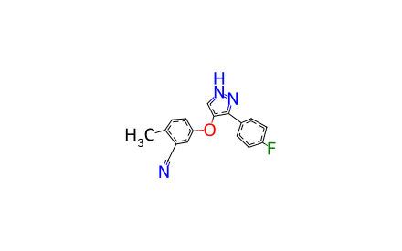 Cc1ccc(Oc2c[nH]nc2-c2ccc(F)cc2)cc1C#N